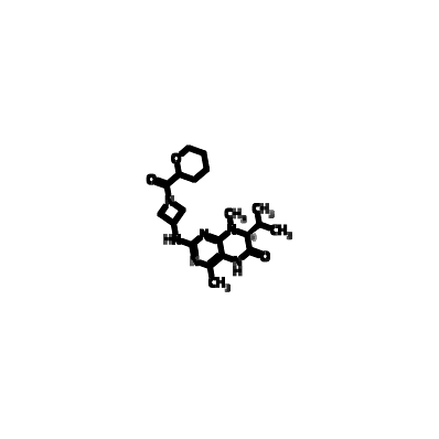 Cc1nc(NC2CN(C(=O)C3CCCCO3)C2)nc2c1NC(=O)[C@H](C(C)C)N2C